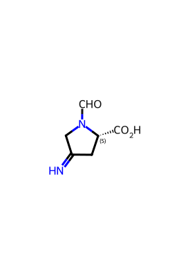 N=C1C[C@@H](C(=O)O)N(C=O)C1